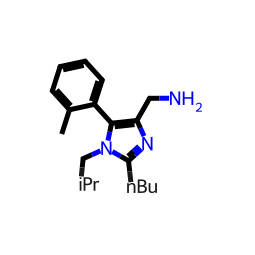 CCCCc1nc(CN)c(-c2ccccc2C)n1CC(C)C